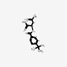 CC(C)(C)c1ccc(C(=O)OC(CC(=O)O)C(=O)O)cc1